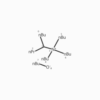 CCCCC(CCC)[N+](CCCC)(CCCC)CCCC.CCCC[O-]